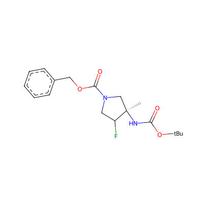 CC(C)(C)OC(=O)N[C@]1(C)CN(C(=O)OCc2ccccc2)CC1F